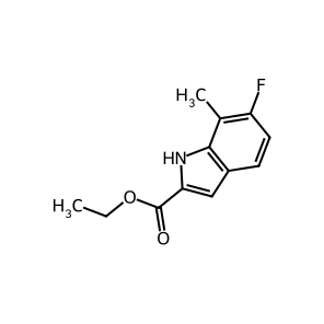 CCOC(=O)c1cc2ccc(F)c(C)c2[nH]1